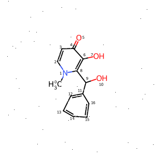 Cn1ccc(=O)c(O)c1C(O)c1ccccc1